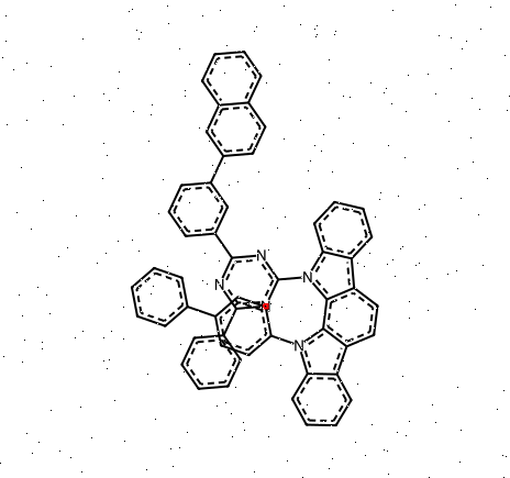 c1ccc(-c2ccc(-n3c4ccccc4c4ccc5c6ccccc6n(-c6nc(-c7ccccc7)nc(-c7cccc(-c8ccc9ccccc9c8)c7)n6)c5c43)cc2)cc1